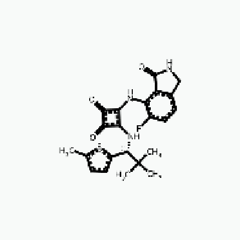 Cc1ccc([C@H](Nc2c(Nc3c(F)ccc4c3C(=O)NC4)c(=O)c2=O)C(C)(C)C)s1